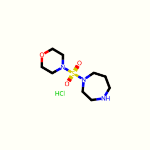 Cl.O=S(=O)(N1CCCNCC1)N1CCOCC1